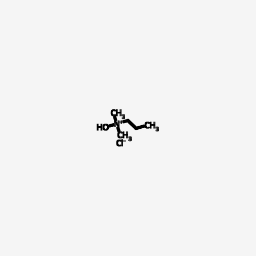 CCC[N+](C)(C)O.[Cl-]